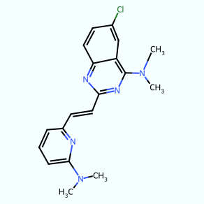 CN(C)c1cccc(C=Cc2nc(N(C)C)c3cc(Cl)ccc3n2)n1